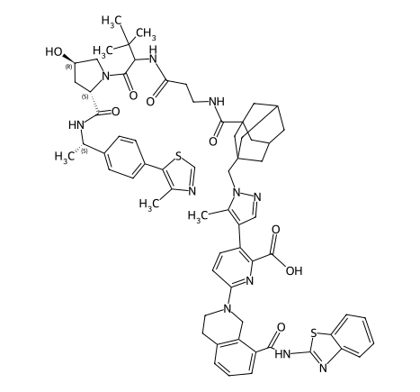 Cc1ncsc1-c1ccc([C@H](C)NC(=O)[C@@H]2C[C@@H](O)CN2C(=O)C(NC(=O)CCNC(=O)C23CC4CC(CC(Cn5ncc(-c6ccc(N7CCc8cccc(C(=O)Nc9nc%10ccccc%10s9)c8C7)nc6C(=O)O)c5C)(C4)C2)C3)C(C)(C)C)cc1